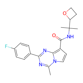 Cc1nc(-c2ccc(F)cc2)nc2c(C(=O)NC(C)(C)C3CCO3)ccn12